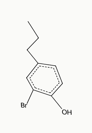 CCCc1ccc(O)c(Br)c1